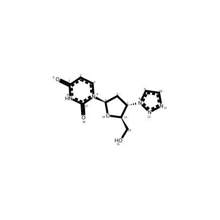 O=c1ccn([C@H]2C[C@H](n3ccnn3)[C@@H](CO)O2)c(=O)[nH]1